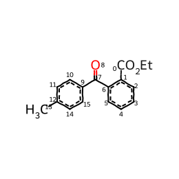 CCOC(=O)c1[c]cccc1C(=O)c1ccc(C)cc1